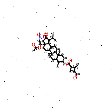 CC(=O)OC(C[N+](=O)[O-])C12CCC3C(CCC4C3(C)CCC3C(C)C(OC(=O)C5CC(C=O)C5C)CCC34C)C1=C(C(C)C)C(=O)C2